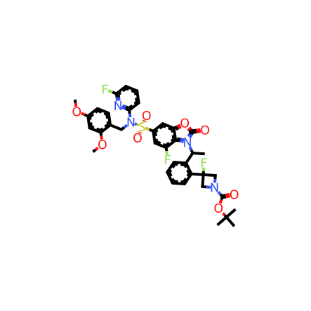 COc1ccc(CN(c2cccc(F)n2)S(=O)(=O)c2cc(F)c3c(c2)oc(=O)n3C(C)c2ccccc2C2(F)CN(C(=O)OC(C)(C)C)C2)c(OC)c1